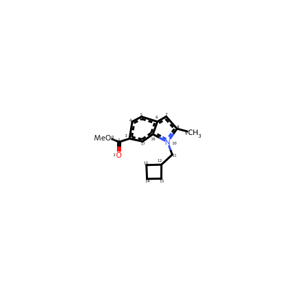 COC(=O)c1ccc2cc(C)n(CC3CCC3)c2c1